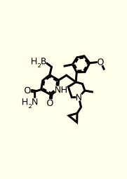 BCc1cc(C(N)=O)c(=O)[nH]c1CC1(c2cc(OC)ccc2C)CCN(CC2CC2)C(C)C1